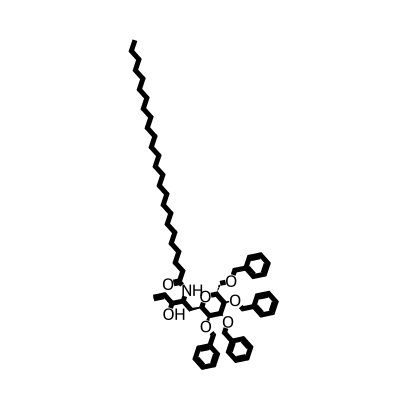 C=CC(O)C(C[C@H]1O[C@H](COCc2ccccc2)[C@H](OCc2ccccc2)[C@H](OCc2ccccc2)[C@H]1OCc1ccccc1)NC(=O)CCCCCCCCCCCCCCCCCCCCCCCCC